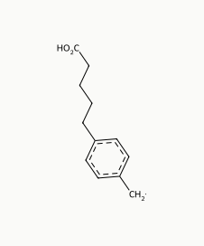 [CH2]c1ccc(CCCCC(=O)O)cc1